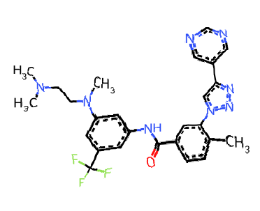 Cc1ccc(C(=O)Nc2cc(N(C)CCN(C)C)cc(C(F)(F)F)c2)cc1-n1cc(-c2cncnc2)nn1